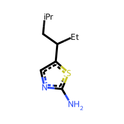 CCC(CC(C)C)c1cnc(N)s1